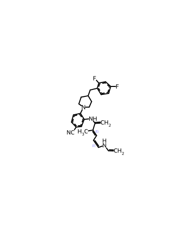 C=CN/C=C\C=C(/C)C(=C)Nc1cc(C#N)ccc1N1CCC(Cc2ccc(F)cc2F)CC1